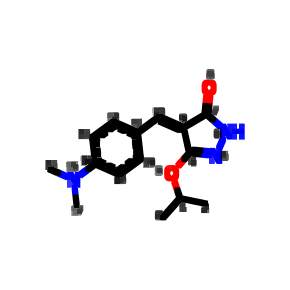 CC(C)OC1=NNC(=O)C1=Cc1ccc(N(C)C)cc1